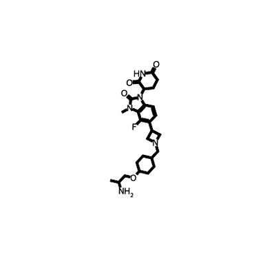 CC(N)COC1CCC(CN2CC(c3ccc4c(c3F)n(C)c(=O)n4C3CCC(=O)NC3=O)C2)CC1